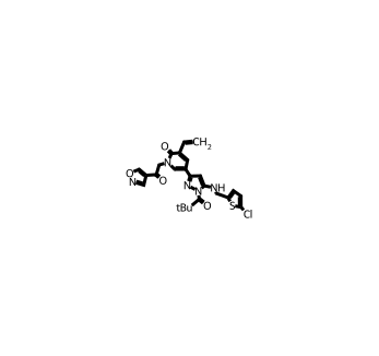 C=Cc1cc(-c2cc(NCc3ccc(Cl)s3)n(C(=O)C(C)(C)C)n2)cn(CC(=O)c2cnoc2)c1=O